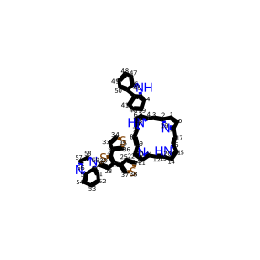 C1=Cc2cc3ccc(cc4nc(cc5ccc(cc1n2)[nH]5)C=C4)[nH]3.c1cc(-c2ccsc2-c2ccsc2)cs1.c1ccc2c(c1)[nH]c1ccccc12.c1ccc2nccnc2c1